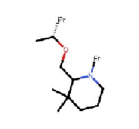 CCN1CCCC(C)(C)C1CO[C@H](C)C(C)C